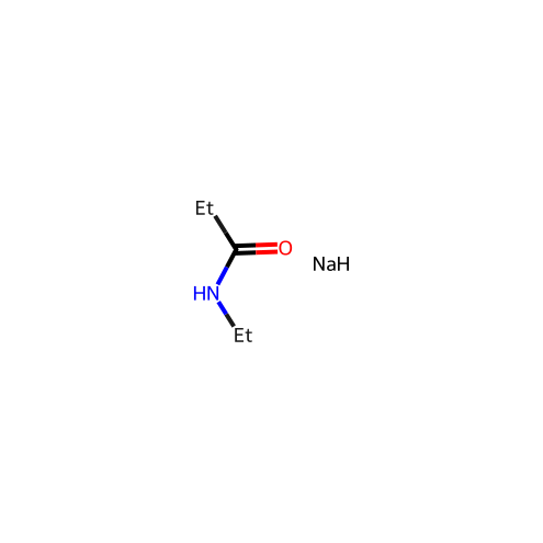 CCNC(=O)CC.[NaH]